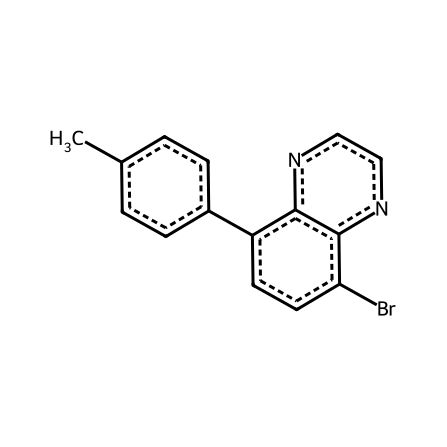 Cc1ccc(-c2ccc(Br)c3nccnc23)cc1